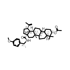 C=C(C)[C@@H]1CC[C@]2(C(=O)N[C@H](C)c3ccc(OC)cc3)CC[C@]3(C)[C@H](CC[C@@H]4[C@@]5(C)CC[C@H](OC(C)=O)C(C)(C)[C@@H]5CC[C@]43C)[C@@H]12